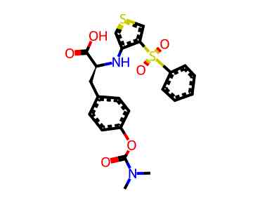 CN(C)C(=O)Oc1ccc(C[C@H](Nc2cscc2S(=O)(=O)c2ccccc2)C(=O)O)cc1